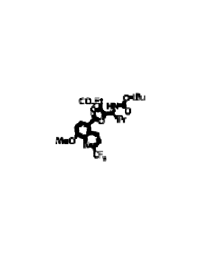 CCOC(=O)c1nc(-c2ccc(OC)c3nc(C(F)(F)F)ccc23)oc1[C@@H](NC(=O)OC(C)(C)C)C(C)C